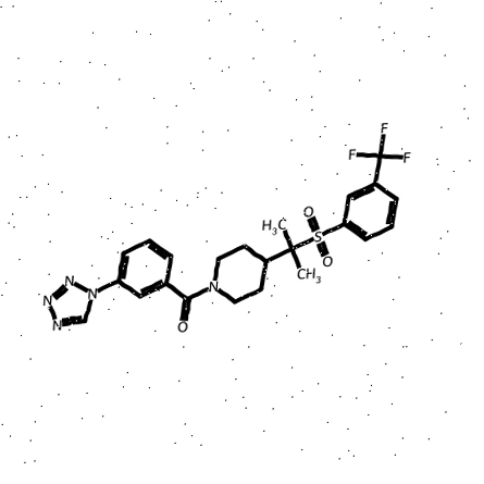 CC(C)(C1CCN(C(=O)c2cccc(-n3cnnn3)c2)CC1)S(=O)(=O)c1cccc(C(F)(F)F)c1